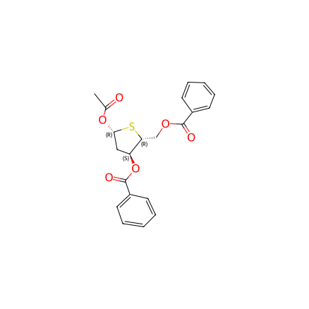 CC(=O)O[C@H]1C[C@H](OC(=O)c2ccccc2)[C@@H](COC(=O)c2ccccc2)S1